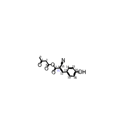 CC(=O)CC(=O)OC(=O)/C(C#N)=C/c1ccc(O)cc1